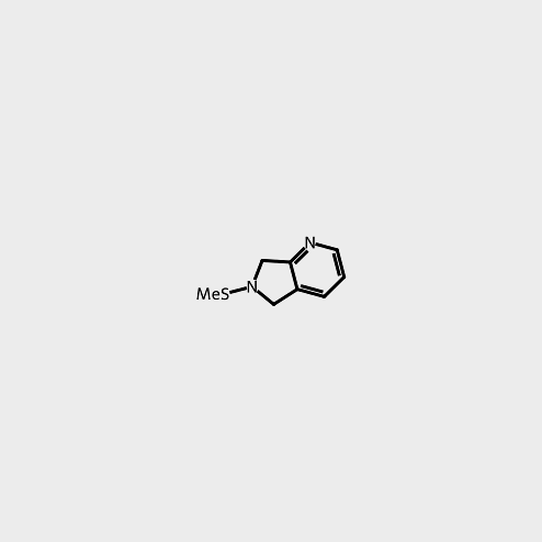 CSN1Cc2cccnc2C1